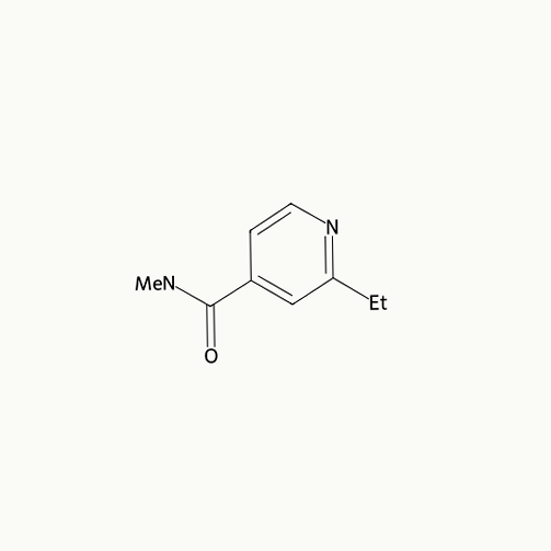 CCc1cc(C(=O)NC)ccn1